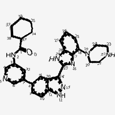 O=C(Nc1cncc(-c2ccc3[nH]nc(-c4nc5c(N6CCNCC6)cccc5[nH]4)c3c2)c1)C1CCCCC1